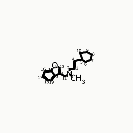 CN(C/C=C/C1CCCCC1)Cc1coc2ccccc12